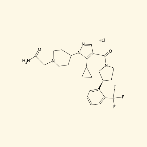 Cl.NC(=O)CN1CCC(n2ncc(C(=O)N3CC[C@@H](c4ccccc4C(F)(F)F)C3)c2C2CC2)CC1